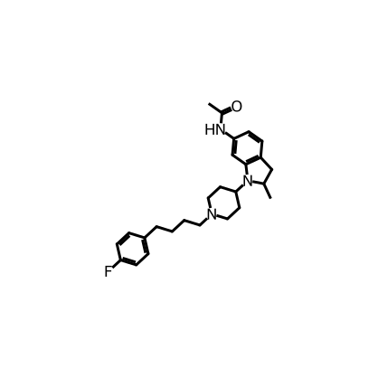 CC(=O)Nc1ccc2c(c1)N(C1CCN(CCCCc3ccc(F)cc3)CC1)C(C)C2